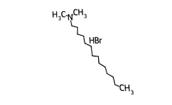 Br.CCCCCCCCCCCCCCN(C)C